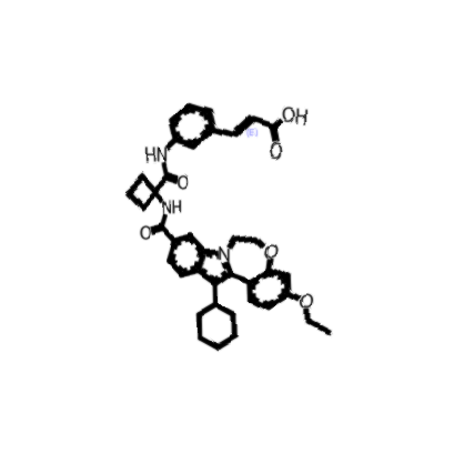 CCOc1ccc2c(c1)OCCn1c-2c(C2CCCCC2)c2ccc(C(=O)NC3(C(=O)Nc4cccc(/C=C/C(=O)O)c4)CCC3)cc21